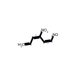 C=C/C=C(\C=C/N=O)[N+](=O)[O-]